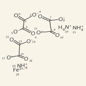 O=C([O-])C(=O)[O-].O=C([O-])C(=O)[O-].O=C([O-])C(=O)[O-].[Fe+3].[NH4+].[NH4+].[NH4+]